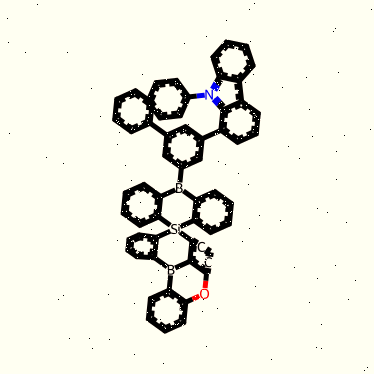 c1ccc(-c2cc(B3c4ccccc4[Si]4(c5ccccc53)c3ccccc3B3c5ccccc5Oc5cccc4c53)cc(-c3cccc4c5ccccc5n(-c5ccccc5)c34)c2)cc1